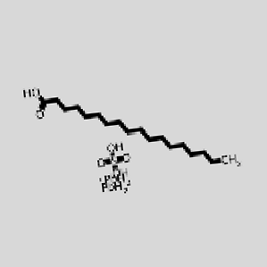 CCCCCCCCCCCCCCCCCC(=O)O.O=S(=O)(O)O.[PbH2].[PbH2]